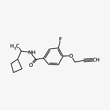 C#CCOc1ccc(C(=O)NC(C)C2CCC2)cc1F